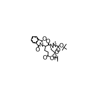 CCOC(=O)CN(C(=O)C(CCC(=O)O)N1C(=O)c2ccccc2C1=O)N(C)C(=O)OC(C)(C)C